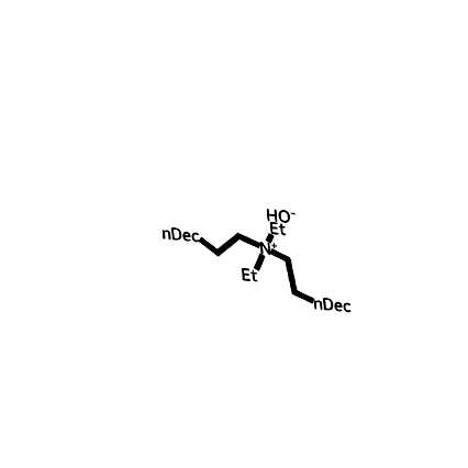 CCCCCCCCCCCC[N+](CC)(CC)CCCCCCCCCCCC.[OH-]